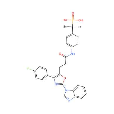 CCC(CC)(c1ccc(NC(=O)CCc2oc(-n3cnc4ccccc43)nc2-c2ccc(F)cc2)cc1)P(=O)(O)O